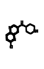 Clc1ccc2ncc(NC3CCNCC3)cc2n1